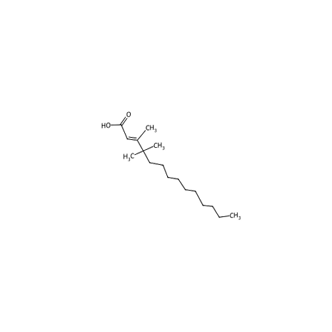 CCCCCCCCCCC(C)(C)C(C)=CC(=O)O